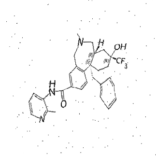 Cc1ncccc1NC(=O)c1ccc2c(c1)CN(C)C[C@@H]1C[C@@](O)(C(F)(F)F)CC[C@@]21Cc1ccccc1